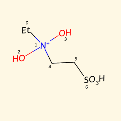 CC[N+](O)(O)CCS(=O)(=O)O